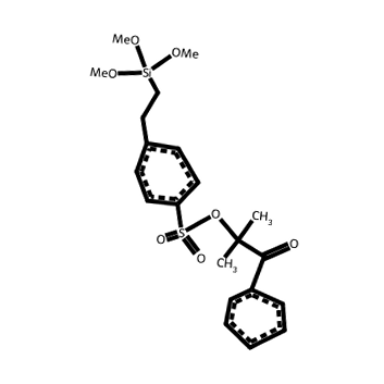 CO[Si](CCc1ccc(S(=O)(=O)OC(C)(C)C(=O)c2ccccc2)cc1)(OC)OC